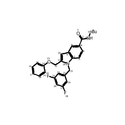 CCCCNC(=O)c1ccc2c(c1)cc(COc1ccccc1)n2Cc1cc(F)cc(F)c1